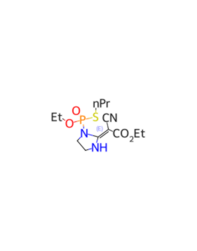 CCCSP(=O)(OCC)N1CCN/C1=C(/C#N)C(=O)OCC